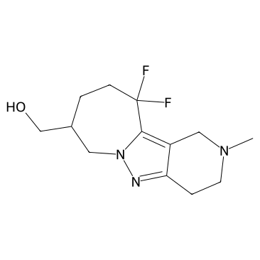 CN1CCc2nn3c(c2C1)C(F)(F)CCC(CO)C3